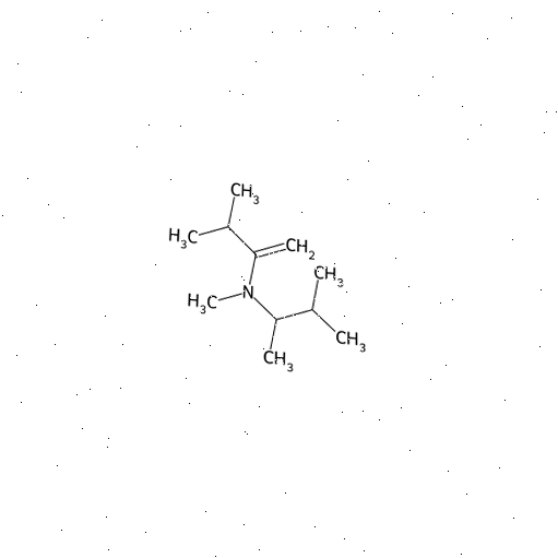 C=C(C(C)C)N(C)C(C)C(C)C